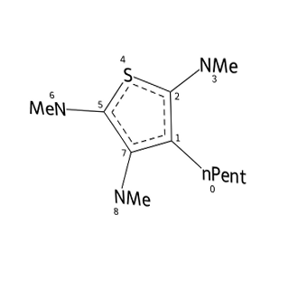 CCCCCc1c(NC)sc(NC)c1NC